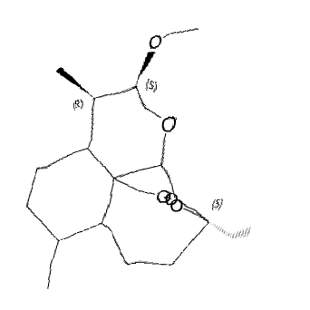 CO[C@H]1OC2O[C@]3(C)CCC4C(C)CCC([C@H]1C)C24OO3